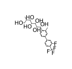 Cc1cc(-c2ccc(C(F)(F)F)c(F)c2)ccc1[C@@H](O)C(O)C(O)C(O)C(O)C(C)CO